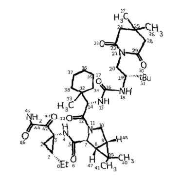 CC[C@@H]1C[C@@]1(NC(=O)[C@@H]1[C@@H]2[C@H](CN1C(=O)[C@@H](NC(=O)N[C@H](CN1C(=O)CC(C)(C)CC1=O)C(C)(C)C)C1(C)CCCCC1)C2(C)C)C(=O)C(N)=O